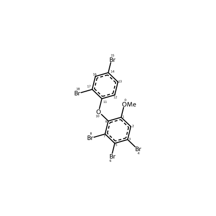 COc1cc(Br)c(Br)c(Br)c1Oc1ccc(Br)cc1Br